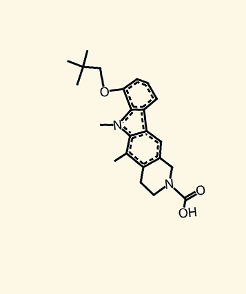 Cc1c2c(cc3c4cccc(OCC(C)(C)C)c4n(C)c13)CN(C(=O)O)CC2